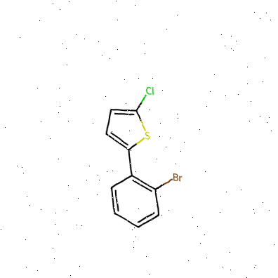 Clc1ccc(-c2ccc[c]c2Br)s1